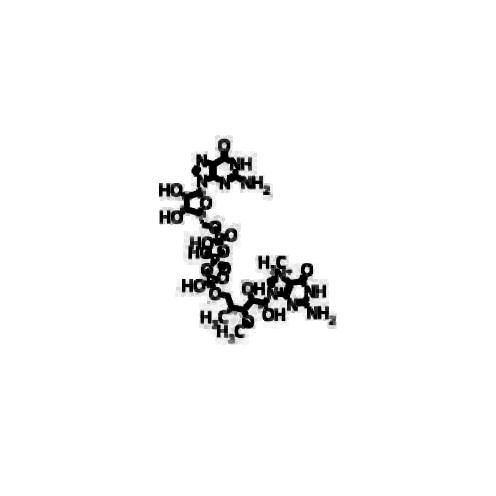 COC(C(O)[C@@H](O)[N+]1=C=[N+](C)c2c1nc(N)[nH]c2=O)[C@H](C)COP(=O)(O)OP(=O)(O)OP(=O)(O)OC[C@H]1O[C@@H](n2cnc3c(=O)[nH]c(N)nc32)[C@@H](O)[C@H]1O